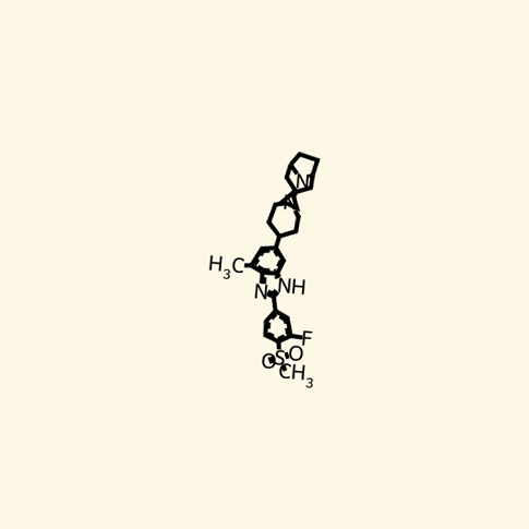 Cc1cc(C2CCN(C3CC4CCC(C3)N4C3CC3)CC2)cc2[nH]c(-c3ccc(S(C)(=O)=O)c(F)c3)nc12